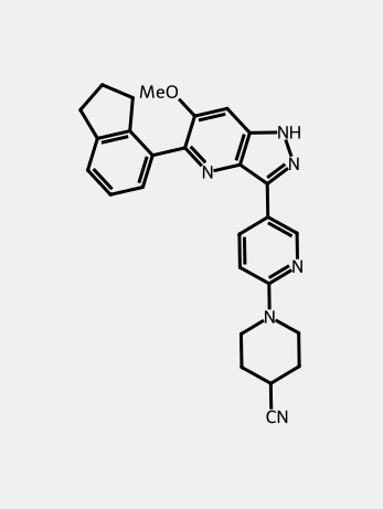 COc1cc2[nH]nc(-c3ccc(N4CCC(C#N)CC4)nc3)c2nc1-c1cccc2c1CCC2